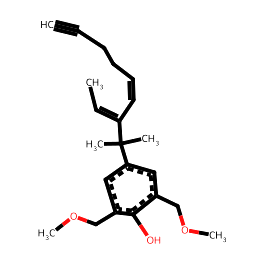 C#CCC/C=C\C(=C/C)C(C)(C)c1cc(COC)c(O)c(COC)c1